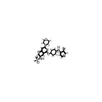 CS(=O)(=O)Nc1cnc2cc(N3CCOCC3)nc(OC3CCC(Nc4ccncc4Br)CC3)c2c1